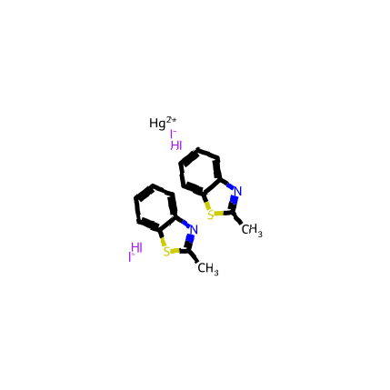 Cc1nc2ccccc2s1.Cc1nc2ccccc2s1.I.I.[Hg+2].[I-].[I-]